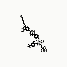 CCCCCCCOc1ccc(-c2cnc(-c3ccc(C[C@H](NC(=O)c4ccc(C(C)(C)C)cc4)C(=O)NCCC(=O)O)cc3)nc2)cc1Cl